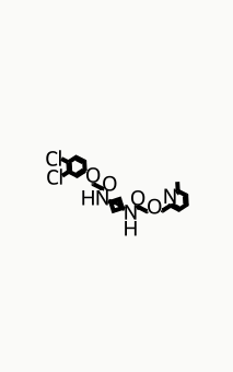 Cc1cccc(COCC(=O)NC23CC(NC(=O)COc4ccc(Cl)c(Cl)c4)(C2)C3)n1